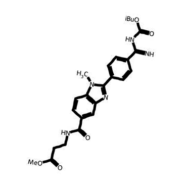 COC(=O)CCNC(=O)c1ccc2c(c1)nc(-c1ccc(C(=N)NC(=O)OCC(C)C)cc1)n2C